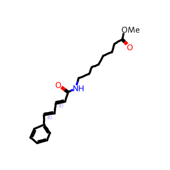 COC(=O)CCCCCCCNC(=O)/C=C/C=C/c1ccccc1